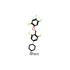 CCCCC[C@H]1CC[C@H](c2cc(F)c(COc3cc(F)c(F)cc3F)c(F)c2)CC1